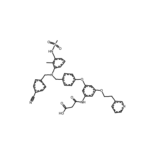 Cc1c(NS(C)(=O)=O)cccc1N(Cc1ccc(C#N)cc1)Cc1ccc(Oc2cc(NC(=O)CC(=O)O)cc(OCCc3cccnc3)c2)cc1